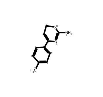 NC1=NC(c2ccc(C(F)(F)F)cc2)=CCS1